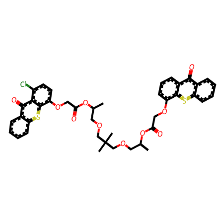 CC(COCC(C)(C)COCC(C)OC(=O)COc1ccc(Cl)c2c(=O)c3ccccc3sc12)OC(=O)COc1cccc2c(=O)c3ccccc3sc12